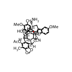 COc1ccc2oc3c(c2c1)C[C@H](CN)N[C@]31CCS[C@@H]2c3c(OC(C)=O)c(C)c4c(c3[C@H](COC1=O)N1C(C#N)[C@@H]3Cc5cc(C)c(OC)c(O)c5[C@@H]([C@H]21)N3C)OCO4